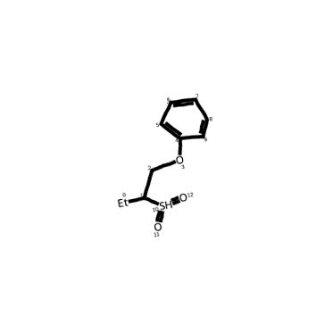 CCC(COc1c[c]ccc1)[SH](=O)=O